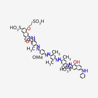 COc1cc(N=Nc2ccc(C(=O)Nc3cc4c(OCCCS(=O)(=O)O)cc(S(=O)(=O)O)cc4cc3S(=O)(=O)O)cc2C)ccc1N=Nc1cc(C)c(N=Nc2cc(OC)c(N=Nc3c(S(=O)(=O)O)cc4cc(Nc5ccccc5)ccc4c3O)cc2C)cc1C